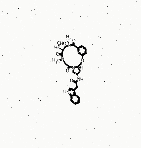 CN1C[C@H](NC=O)C(=O)N(C)CC(=O)N2C[C@@H](NC(=O)Cc3c[nH]c4ccccc34)C[C@H]2COc2cccc(c2)C1=O